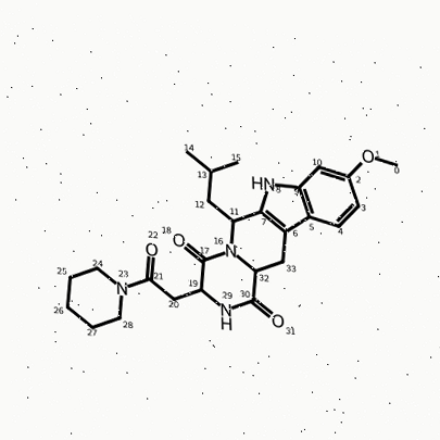 COc1ccc2c3c([nH]c2c1)C(CC(C)C)N1C(=O)C(CC(=O)N2CCCCC2)NC(=O)C1C3